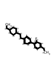 CCc1ccc(-c2ccc(CCC3CCC(CC)CC3)cc2)c(F)c1